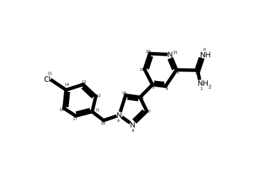 N=C(N)c1cc(-c2cnn(Cc3ccc(Cl)cc3)c2)ccn1